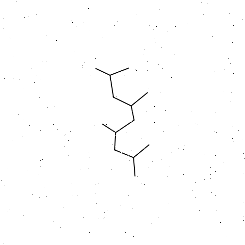 [CH2]C(C)CC(C)CC(C)CC(C)C